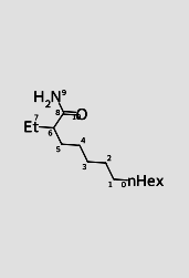 CCCCCCCCCCCC(CC)C(N)=O